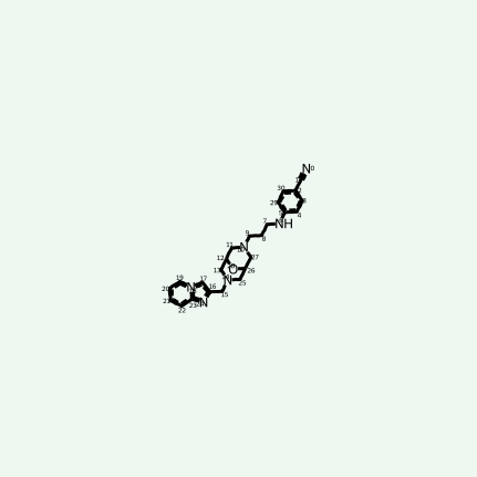 N#Cc1ccc(NCCCN2CC3CN(Cc4cn5ccccc5n4)CC(C2)O3)cc1